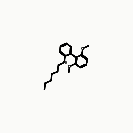 CCCCCCPc1ccccc1-c1c(OC)cccc1OC